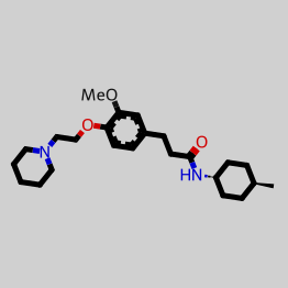 COc1cc(CCC(=O)N[C@H]2CC[C@H](C)CC2)ccc1OCCN1CCCCC1